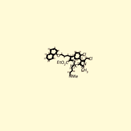 CCOC(=O)c1c(CCCOc2cccc3ccccc23)c2ccc(Cl)c(-c3c(CCl)nn(C)c3C)c2n1CCCCNC